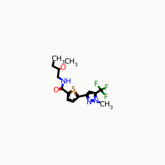 CCC(CNC(=O)c1ccc(-c2cc(C(F)(F)F)n(C)n2)s1)OC